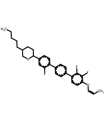 C/C=C\Oc1ccc(-c2ccc(-c3ccc(C4CCC(CCCCC)CO4)cc3F)cc2)c(F)c1F